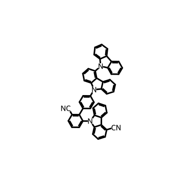 N#Cc1cccc(-n2c3ccccc3c3c(C#N)cccc32)c1-c1ccc(-n2c3ccccc3c3c(-n4c5ccccc5c5ccccc54)cccc32)cc1